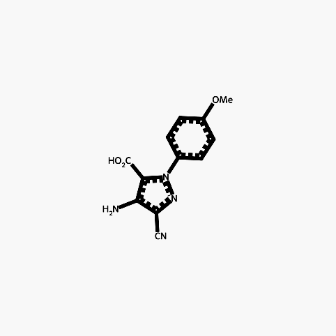 COc1ccc(-n2nc(C#N)c(N)c2C(=O)O)cc1